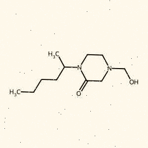 CCCCC(C)N1CCN(CO)CC1=O